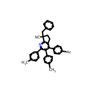 CC(=O)c1ccc(-c2c3c(nc(-c4ccc(C)cc4)c2-c2ccc(C)cc2)C(C#N)(Cc2ccccc2)CC3)cc1